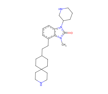 Cn1c(=O)n(C2CCCNC2)c2cccc(CCC3CCC4(CCNCC4)CC3)c21